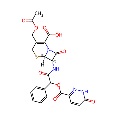 CC(=O)OCC1=C(C(=O)O)N2C(=O)[C@H](NC(=O)C(OC(=O)c3ccc(=O)[nH]n3)c3ccccc3)[C@H]2SC1